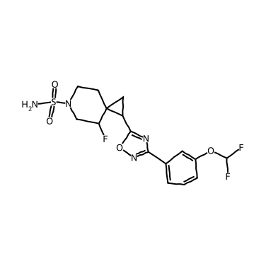 NS(=O)(=O)N1CCC2(CC2c2nc(-c3cccc(OC(F)F)c3)no2)C(F)C1